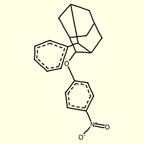 O=[N+]([O-])c1ccc(OC2C3CC4CC(C3)C(c3ccccc3)C2C4)cc1